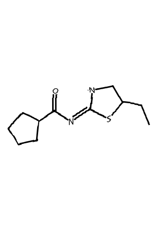 CCC1C[N]C(=NC(=O)C2CCCC2)S1